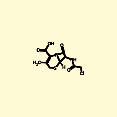 CC1=C(C(=O)O)N2C(=O)C(NC(=O)CCl)[C@@H]2SC1